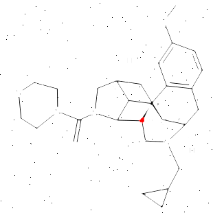 COc1ccc2c(c1)[C@]13CCN(CC4CC4)[C@H](C2)[C@]12CCC1C3[C@@H](CN1C(=O)N1CCNCC1)C2